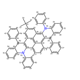 Cc1cc(C)c2c3c(c4cc(C(C)(C)C)cc5c6c(c1c2c45)B(c1ccccc1)c1ccccc1N6c1ccccc1)B(c1ccccc1)c1ccccc1N3c1ccccc1